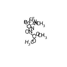 COc1cc(Cn2cnc3c(-c4cn(C)nc4C(F)(F)F)cc(CBr)cc3c2=O)cc(OC)c1